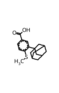 CSc1ccc(C(=O)O)cc1C12CC3CC(CC(C3)C1)C2